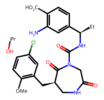 CC(C)O.CC[C@@H](NC(=O)N1CC(=O)NC[C@@H](Cc2cc(Cl)ccc2OC)C1=O)c1ccc(C(=O)O)c(N)c1